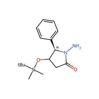 CC(C)(C)[Si](C)(C)OC1CC(=O)N(N)[C@@H]1c1ccccc1